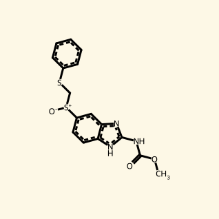 COC(=O)Nc1nc2cc([S+]([O-])CSc3ccccc3)ccc2[nH]1